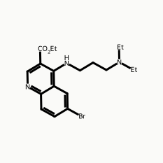 CCOC(=O)c1cnc2ccc(Br)cc2c1NCCCN(CC)CC